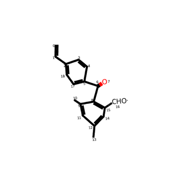 C=Cc1ccc(C(=O)c2c(C)cc(C)cc2[C]=O)cc1